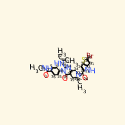 CNC(=O)c1ccc(-n2c(NC(C)C)nc3c(c2=O)C[C@@H](C)N(C(=O)c2cc4sc(Br)cc4[nH]2)C3)cc1